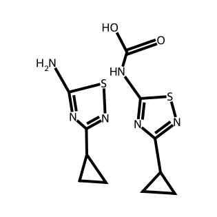 Nc1nc(C2CC2)ns1.O=C(O)Nc1nc(C2CC2)ns1